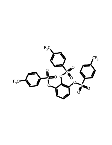 O=S(=O)(Oc1cccc(OS(=O)(=O)c2ccc(C(F)(F)F)cc2)c1OS(=O)(=O)c1ccc(C(F)(F)F)cc1)c1ccc(C(F)(F)F)cc1